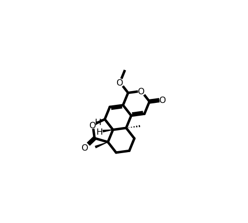 COC1OC(=O)C=C2C1=C[C@H]1OC(=O)[C@@]3(C)CCC[C@@]2(C)[C@@H]13